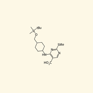 CSc1ncc(C(=O)O)c(NC2CCC(CO[Si](C)(C)C(C)(C)C)CC2)n1